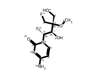 CO[C@@](CO)(CF)[C@@H](O)[C@@H](F)n1ccc(N)nc1=O